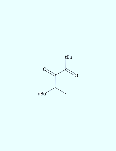 CCCCC(C)C(=O)C(=O)C(C)(C)C